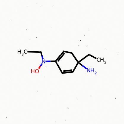 CCN(O)C1=CCC(N)(CC)C=C1